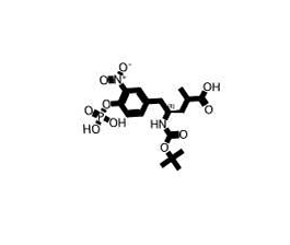 CC(C[C@H](Cc1ccc(OP(=O)(O)O)c([N+](=O)[O-])c1)NC(=O)OC(C)(C)C)C(=O)O